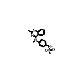 Cc1nc(N(C)c2ccc(NS(C)(=O)=O)cc2)c2ccccc2n1